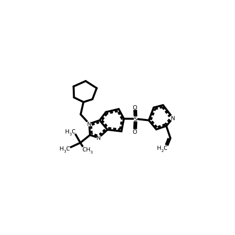 C=Cc1cc(S(=O)(=O)c2ccc3c(c2)nc(C(C)(C)C)n3CC2CCCCC2)ccn1